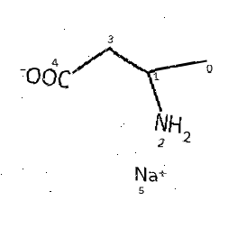 CC(N)CC(=O)[O-].[Na+]